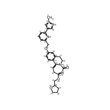 Cn1cc(-c2cccc(COc3ccc4c(c3)CCN3C(=O)N=C(OCC5CCCO5)CC=C43)n2)cn1